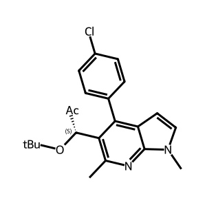 CC(=O)[C@@H](OC(C)(C)C)c1c(C)nc2c(ccn2C)c1-c1ccc(Cl)cc1